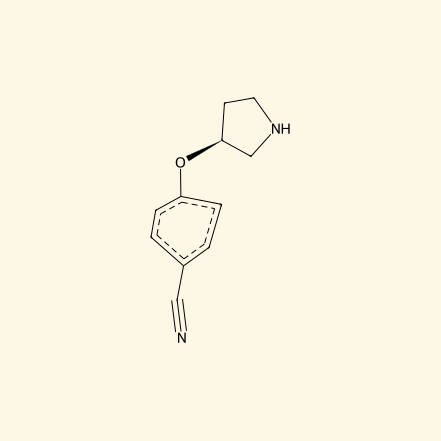 N#Cc1ccc(O[C@H]2CCNC2)cc1